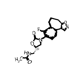 CC(=O)NC[C@H]1CN(c2ccc3c(c2F)CCCc2oncc2-3)C(=O)O1